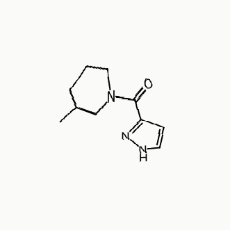 CC1CCCN(C(=O)c2cc[nH]n2)C1